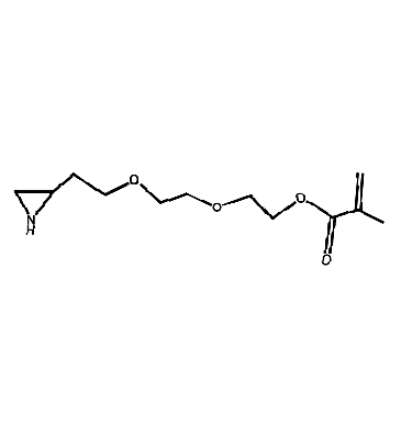 C=C(C)C(=O)OCCOCCOCCC1CN1